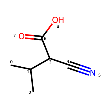 CC(C)C(C#N)C(=O)O